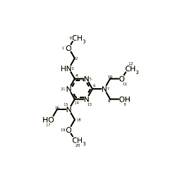 COCNc1nc(N(CO)COC)nc(N(CO)COC)n1